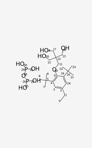 CCc1cc(C(C)(C)C)c(OCC(CO)(CO)CO)c(C(C)(C)C)c1.OP(O)OP(O)O